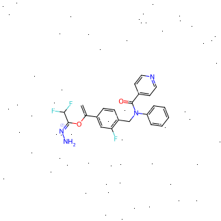 C=C(O/C(=N\N)C(F)F)c1ccc(CN(C(=O)c2ccncc2)c2ccccc2)c(F)c1